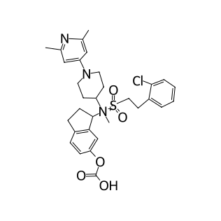 Cc1cc(N2CCC([N+](C)(C3CCc4ccc(OC(=O)O)cc43)S(=O)(=O)CCc3ccccc3Cl)CC2)cc(C)n1